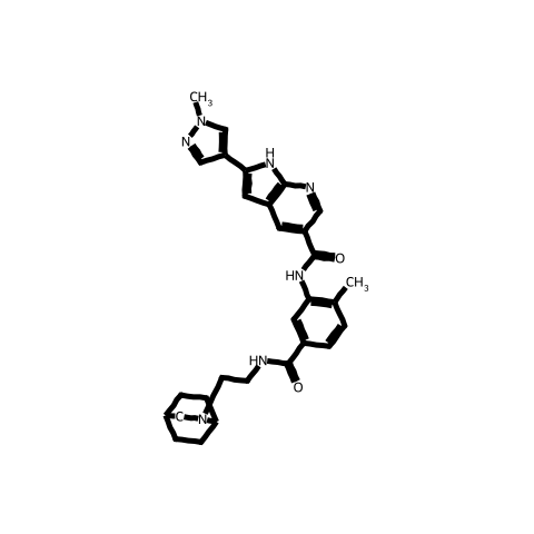 Cc1ccc(C(=O)NCCN2CC3CCC2CC3)cc1NC(=O)c1cnc2[nH]c(-c3cnn(C)c3)cc2c1